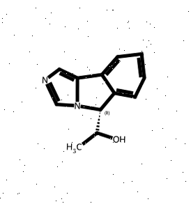 CC(O)[C@H]1c2ccccc2-c2cncn21